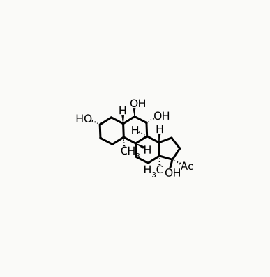 CC(=O)[C@@]1(O)CC[C@H]2[C@@H]3[C@@H](O)[C@H](O)[C@H]4C[C@@H](O)CC[C@]4(C)[C@H]3CC[C@@]21C